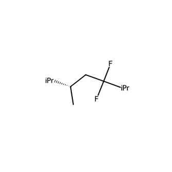 CC(C)[C@@H](C)CC(F)(F)C(C)C